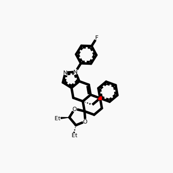 CC[C@H]1OC2(CCCC3=Cc4c(cnn4-c4ccc(F)cc4)C[C@@]32Cc2ccccc2)O[C@@H]1CC